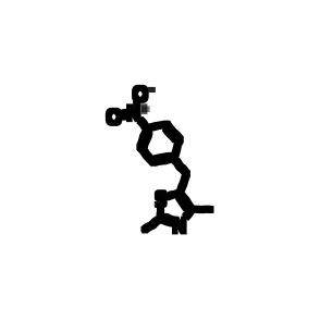 Cc1nc(C)c(Cc2ccc([N+](=O)[O-])cc2)s1